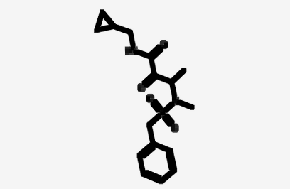 CC(C(=O)C(=O)NCC1CC1)N(C)S(=O)(=O)Cc1ccccc1